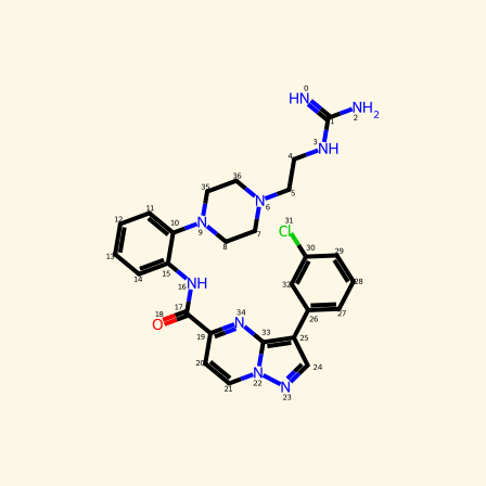 N=C(N)NCCN1CCN(c2ccccc2NC(=O)c2ccn3ncc(-c4cccc(Cl)c4)c3n2)CC1